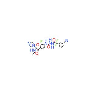 CCC(=O)N[C@@H](C(=O)N1CCN(C)CC1)[C@@H](C)c1ccc(NC(=O)NNC(=O)C(F)(F)c2cccc(C#N)c2)c(F)c1